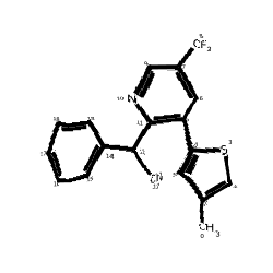 Cc1csc(-c2cc(C(F)(F)F)cnc2C(C#N)c2ccccc2)c1